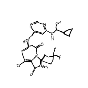 O=C1NC2(CC(F)(F)C2)n2c1c(Cl)cc(Nc1cc(NC(O)C3CC3)ncn1)c2=O